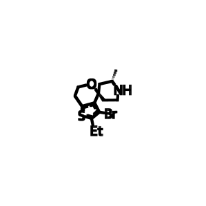 CCc1sc2c(c1Br)[C@]1(CCN[C@@H](C)C1)OCC2